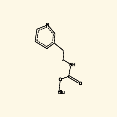 CC(C)(C)OC(=O)N[CH]Cc1cccnc1